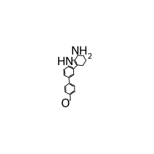 NC1CCCc2c1[nH]c1ccc(-c3ccc(C=O)cc3)cc21